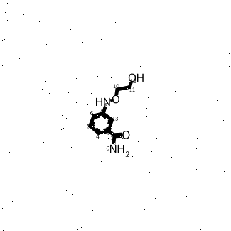 NC(=O)c1cccc(NOCCO)c1